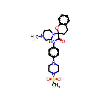 CN1CCN(C2(C(=O)Nc3ccc(N4CCN(S(C)(=O)=O)CC4)cc3)CCc3ccccc3O2)CC1